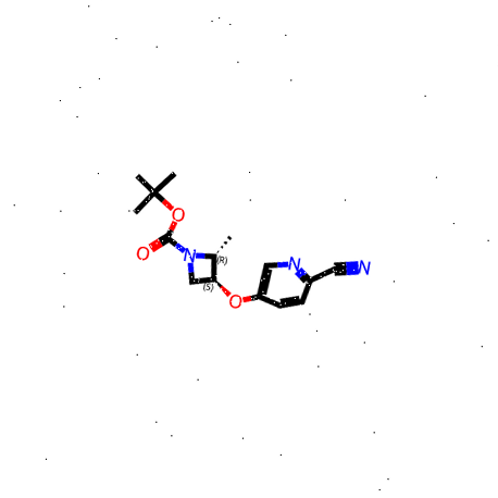 C[C@@H]1[C@@H](Oc2ccc(C#N)nc2)CN1C(=O)OC(C)(C)C